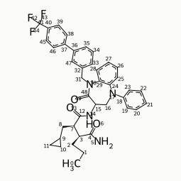 CCC[C@H](C(N)=O)[C@@H](CC1CC1)C(=O)NC1CN(c2ccccc2)c2ccccc2N(Cc2cccc(-c3ccc(C(F)(F)F)cc3)c2)C1=O